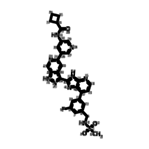 CS(=O)(=O)NCc1cc(F)cc(-c2ccnc3[nH]c(-c4n[nH]c5cnc(-c6cncc(NC(=O)C7CCC7)c6)cc45)nc23)c1